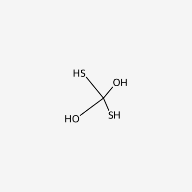 OC(O)(S)S